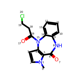 Cn1ccc2c1C(=O)Nc1ccccc1N2C(=O)CCCl